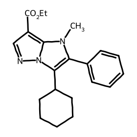 CCOC(=O)c1cnn2c(C3CCCCC3)c(-c3ccccc3)n(C)c12